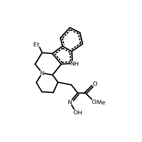 CCC1CN2CCCC(CC(=NO)C(=O)OC)C2c2[nH]c3ccccc3c21